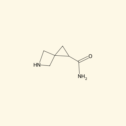 NC(=O)C1CC12CNC2